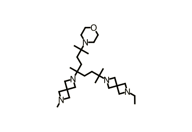 CCN1CC2(C1)CN(C(C)(C)CCC(C)(CCC(C)(C)N1CCOCC1)N1CC3(CN(C)C3)C1)C2